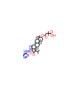 CC(C)C1=C2[C@H]3CC[C@@H]4[C@@]5(C)CC[C@H](OC(=O)CC(C)(C)C(=O)O)C(C)(C)[C@@H]5CC[C@@]4(C)[C@]3(C)CC[C@@]2(NC(=O)Nc2ccncn2)CC1=O